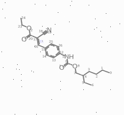 CCCCC(CC)COC(=O)Nc1ccc(/C=C(\C#N)C(=O)OCC)cc1